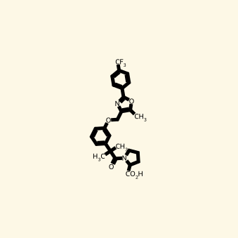 Cc1oc(-c2ccc(C(F)(F)F)cc2)nc1COc1cccc(C(C)(C)C(=O)N2CCCC2C(=O)O)c1